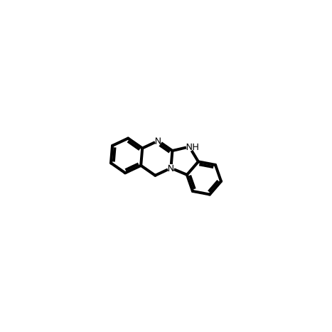 c1ccc2c(c1)CN1C(=N2)Nc2ccccc21